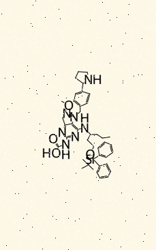 CCCC(CCO[Si](c1ccccc1)(c1ccccc1)C(C)(C)C)Nc1nc(NC(=O)O)nc2cnn(Cc3ccc(C4CCCN4)cc3OC)c12